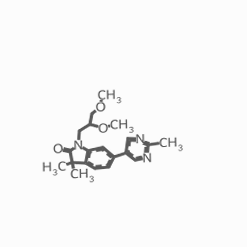 COCC(CN1C(=O)C(C)(C)c2ccc(-c3cnc(C)nc3)cc21)OC